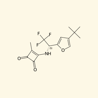 Cc1c(N[C@@H](c2cc(C(C)(C)C)co2)C(F)(F)F)c(=O)c1=O